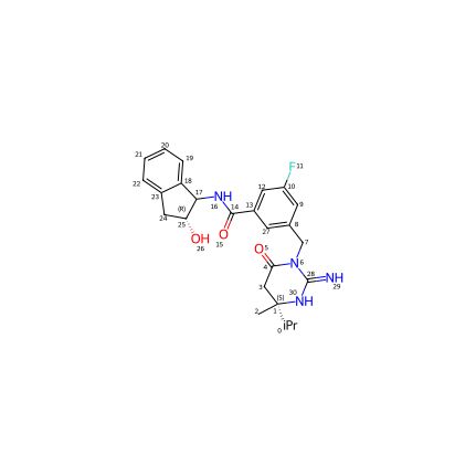 CC(C)[C@]1(C)CC(=O)N(Cc2cc(F)cc(C(=O)NC3c4ccccc4C[C@H]3O)c2)C(=N)N1